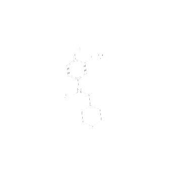 COc1cc(N(CC2CCCCC2)C(C)=O)ccc1C(C)C